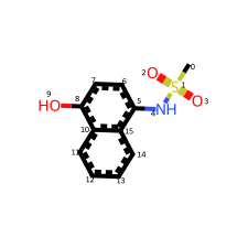 CS(=O)(=O)Nc1ccc(O)c2ccccc12